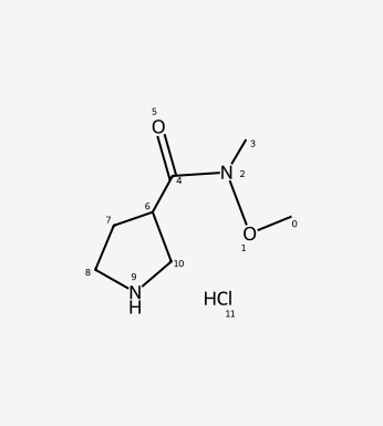 CON(C)C(=O)C1CCNC1.Cl